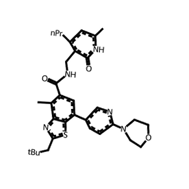 CCCc1cc(C)[nH]c(=O)c1CNC(=O)c1cc(-c2ccc(N3CCOCC3)nc2)c2sc(CC(C)(C)C)nc2c1C